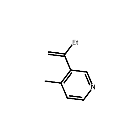 C=C(CC)c1cnccc1C